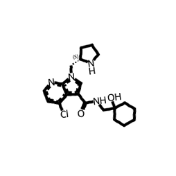 O=C(NCC1(O)CCCCC1)c1cn(C[C@@H]2CCCN2)c2nccc(Cl)c12